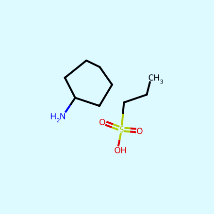 CCCS(=O)(=O)O.NC1CCCCC1